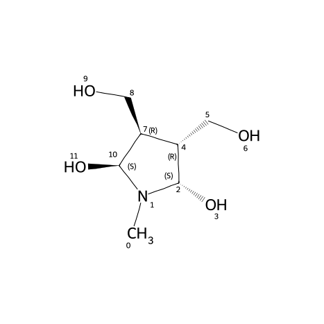 CN1[C@@H](O)[C@@H](CO)[C@H](CO)[C@@H]1O